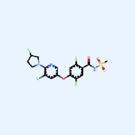 CS(=O)(=O)NC(=O)c1cc(F)c(Oc2cnc(N3CCC(F)C3)c(Cl)c2)cc1F